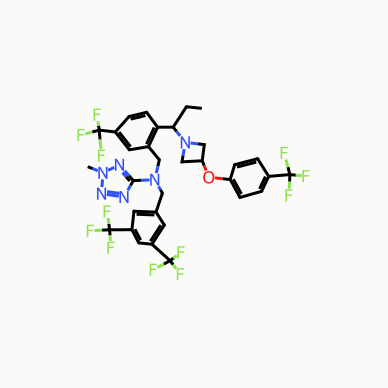 CCC(c1ccc(C(F)(F)F)cc1CN(Cc1cc(C(F)(F)F)cc(C(F)(F)F)c1)c1nnn(C)n1)N1CC(Oc2ccc(C(F)(F)F)cc2)C1